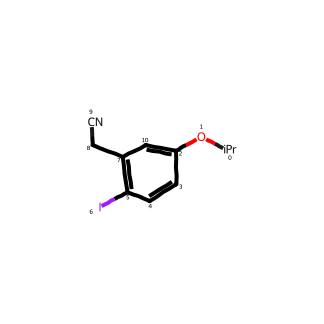 CC(C)Oc1ccc(I)c(CC#N)c1